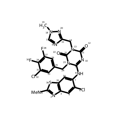 CNc1nc2cc(Cl)c(Nc3nc(=O)n(Cc4ncn(C)n4)c(=O)n3Cc3cc(F)c(F)c(Cl)c3)cc2s1